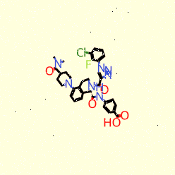 CN(C)C(=O)C1CCN(c2cccc3c2CCN(C(=O)c2cn(-c4cccc(Cl)c4F)nn2)[C@@H]3C(=O)Nc2ccc(C(=O)O)cc2)CC1